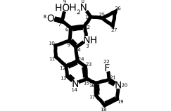 NC(c1[nH]c2c(c1C(=O)O)CCc1cnc(-c3cccnc3F)cc1-2)C1CC1